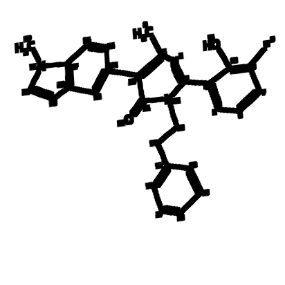 Cc1nc(-c2cccc(F)c2O)n(CCc2ccccc2)c(=O)c1-c1ccc2c(ccn2C)c1